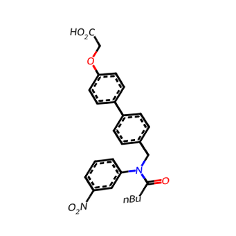 CCCCC(=O)N(Cc1ccc(-c2ccc(OCC(=O)O)cc2)cc1)c1cccc([N+](=O)[O-])c1